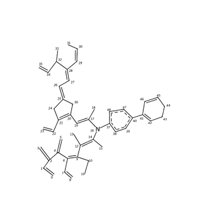 C=CC(=C)C(=C)/C(C=C)=C(CC)\C(C)=C(/C)N(/C(C)=C/C1=C(C=C)C/C(=C/C=C(/C=C\C)C(C)C=C)C1)c1ccc(C2=CCCC=C2)cc1